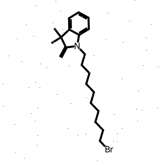 C=C1N(CCCCCCCCCCBr)c2ccccc2C1(C)C